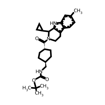 Cc1ccc2c3c([nH]c2c1)C(C1CC1)N(C(=O)[C@H]1CC[C@H](CNC(=O)OC(C)(C)C)CC1)CC3